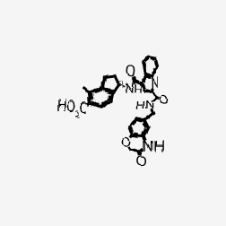 Cc1c(C(=O)O)ccc2c1CC[C@@H]2NC(=O)c1cc(C(=O)NCc2ccc3c(c2)NC(=O)CO3)nc2ccccc12